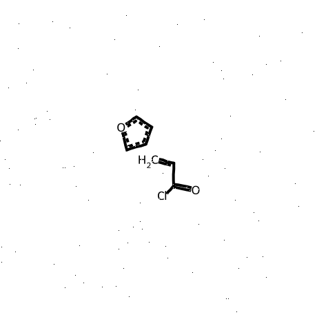 C=CC(=O)Cl.c1ccoc1